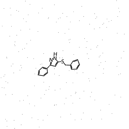 c1ccc(CSc2cc(-c3ccccc3)n[nH]2)cc1